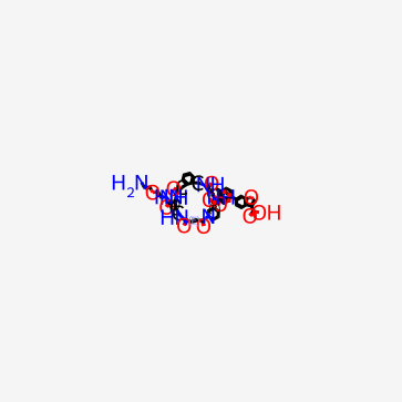 NCCOCCNC(=O)[C@@H]1CCNC(=O)/C=C/C(=O)N2CCC[C@](C(=O)c3ccccc3)(C2)C(=O)N[C@@H](Cc2ccc(-c3ccc4c(C(=O)O)coc4c3)cc2)C(=O)NCc2ccccc2CC(=O)N1